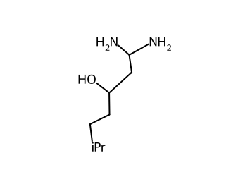 CC(C)CCC(O)CC(N)N